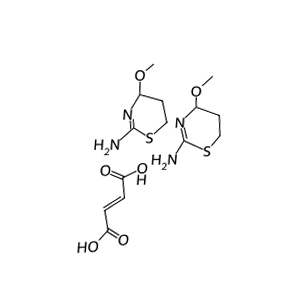 COC1CCSC(N)=N1.COC1CCSC(N)=N1.O=C(O)/C=C/C(=O)O